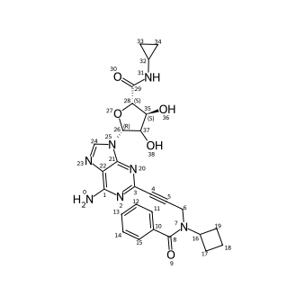 Nc1nc(C#CCN(C(=O)c2ccccc2)C2CCC2)nc2c1ncn2[C@@H]1O[C@H](C(=O)NC2CC2)[C@@H](O)C1O